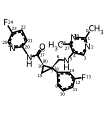 Cc1ncc(NC[C@@]2(c3cccc(F)c3)C[C@H]2C(=O)Nc2ccc(F)cn2)c(C)n1